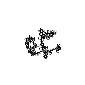 CC[C@@]1(O)C(=O)OCc2c1cc1n(c2=O)Cc2c-1nc1cc(C)c(C)c3c1c2[C@@H](NC(=O)OCc1ccc(NC(=O)[C@H](CCCCNC(=O)CN(C)C(=O)CN(C)C(=O)CN(C)C(=O)CN(C)C(=O)CN(C)C(=O)CN(C)C(=O)CN(C)C(=O)CN(C)C(=O)CN(C)C(=O)CN(C)C(C)=O)NC(=O)[C@H](Cc2ccccc2)NC(=O)CCCCCN2C(=O)C=CC2=O)cc1)CC3